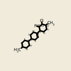 CC1CCC(C2CC=C(C3CCC(C)C(Cl)C3F)CC2)CC1